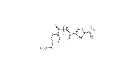 CC(C)(NC(=O)c1ccc(C(=N)N)cc1)C(=O)N1CCC(CC(=O)O)CC1